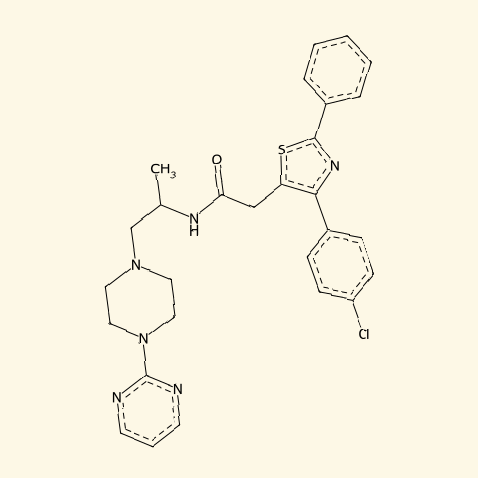 CC(CN1CCN(c2ncccn2)CC1)NC(=O)Cc1sc(-c2ccccc2)nc1-c1ccc(Cl)cc1